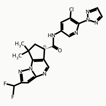 CC1(C)C[C@H](C(=O)Nc2cnc(-n3nccn3)c(Cl)c2)c2cnc3cc(C(F)F)nn3c21